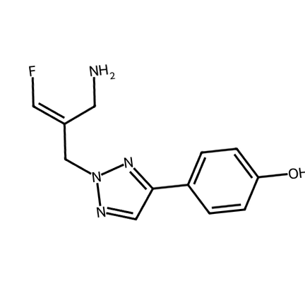 NC/C(=C\F)Cn1ncc(-c2ccc(O)cc2)n1